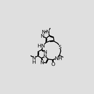 CNc1cc2nn3c(cnc13)C(=O)N[C@H](C)CSCc1cc(c3nnn(C)c3c1)N2